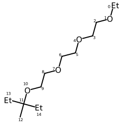 CCOCCOCCOCCOC(C)(CC)CC